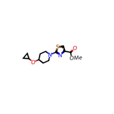 COC(=O)c1csc(N2CCC(OC3CC3)CC2)n1